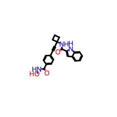 O=C(NO)c1ccc(C#CC2(NC(=O)c3cc4ccccc4[nH]3)CCC2)cc1